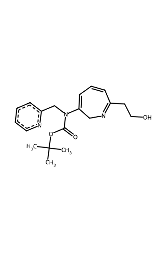 CC(C)(C)OC(=O)N(Cc1ccccn1)C1=CC=CC(CCO)=NC1